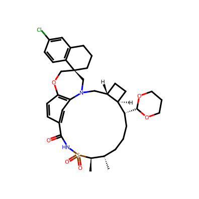 C[C@@H]1[C@@H](C)CCC[C@@H](C2OCCCO2)[C@@H]2CC[C@H]2CN2C[C@@]3(CCCc4cc(Cl)ccc43)COc3ccc(cc32)C(=O)NS1(=O)=O